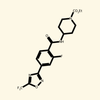 CCOC(=O)N1CCC(NC(=O)c2ccc(-c3noc(C(F)(F)F)n3)cc2F)CC1